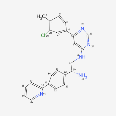 Cc1ccc(-c2cc(NC[C@H](N)c3ccc(-c4ccccn4)cc3)ncn2)cc1Cl